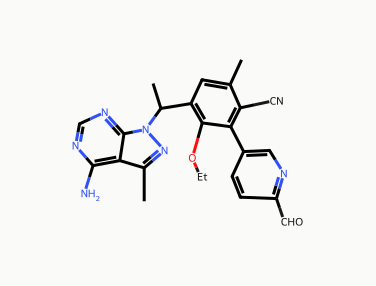 CCOc1c(C(C)n2nc(C)c3c(N)ncnc32)cc(C)c(C#N)c1-c1ccc(C=O)nc1